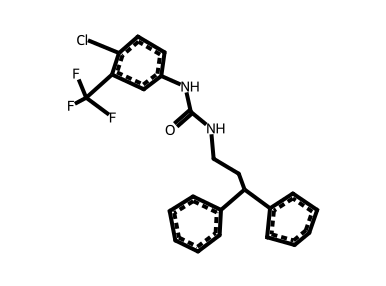 O=C(NCCC(c1ccccc1)c1ccccc1)Nc1ccc(Cl)c(C(F)(F)F)c1